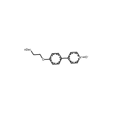 CCCCCCCCCCCCOc1ccc(-c2cc[n+]([O-])cc2)cc1